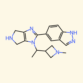 CC(C1CN(C)C1)n1c(-c2ccc3[nH]ncc3c2)nc2c1CNC2